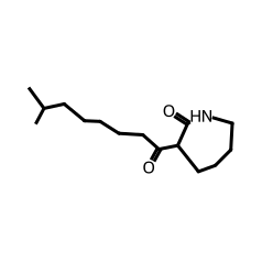 CC(C)CCCCCC(=O)C1CCCCNC1=O